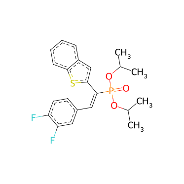 CC(C)OP(=O)(OC(C)C)C(=Cc1ccc(F)c(F)c1)c1cc2ccccc2s1